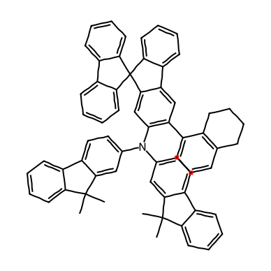 CC1(C)c2ccccc2-c2ccc(N(c3ccc4c(c3)C(C)(C)c3ccccc3-4)c3cc4c(cc3-c3cccc5c3CCCC5)-c3ccccc3C43c4ccccc4-c4ccccc43)cc21